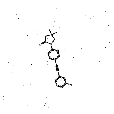 CC1(C)CC(=O)N(c2ccc(C#Cc3cncc(F)c3)cn2)C1